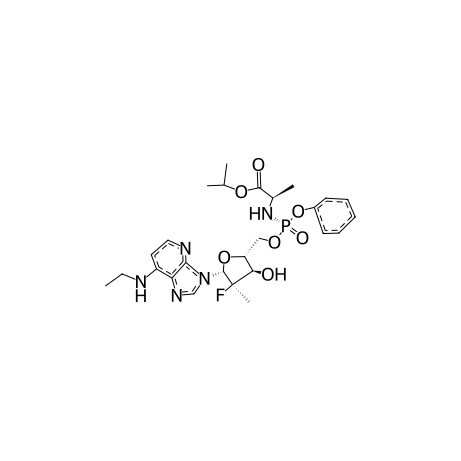 CCNc1ccnc2c1ncn2[C@@H]1O[C@H](CO[P@@](=O)(N[C@H](C)C(=O)OC(C)C)Oc2ccccc2)[C@@H](O)[C@@]1(C)F